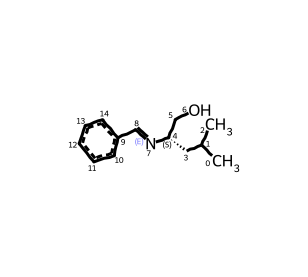 CC(C)C[C@@H](CO)/N=C/c1ccccc1